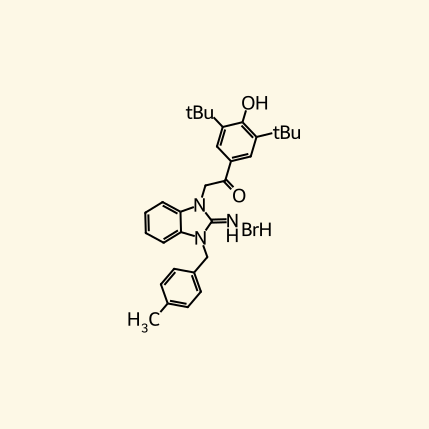 Br.Cc1ccc(Cn2c(=N)n(CC(=O)c3cc(C(C)(C)C)c(O)c(C(C)(C)C)c3)c3ccccc32)cc1